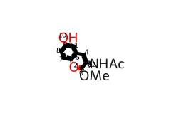 COC(=O)C(=Cc1cccc(O)c1)NC(C)=O